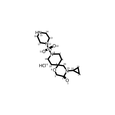 Cl.O=C1COC2(CCN(S(=O)(=O)N3CCNCC3)CC2)CN1C1CC1